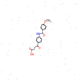 COc1ccc(C(=O)Nc2ccc(C(=O)CCC(=O)O)cc2)cc1